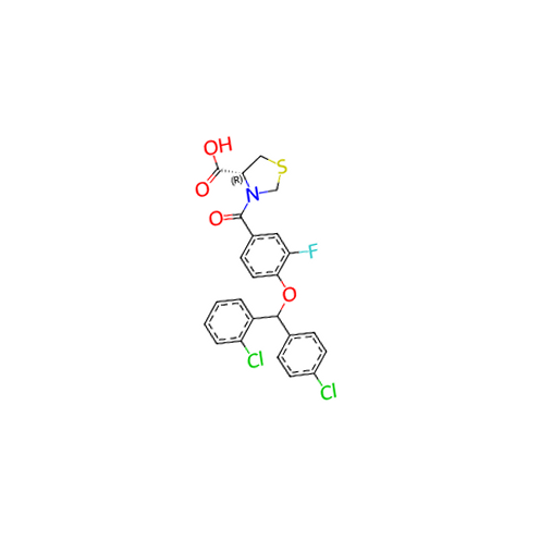 O=C(O)[C@@H]1CSCN1C(=O)c1ccc(OC(c2ccc(Cl)cc2)c2ccccc2Cl)c(F)c1